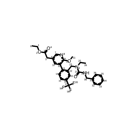 CCOC(=O)Cc1cnc(OC)c(-c2ccc(C(F)(F)F)cc2CN(CC)C(=O)NCc2ccccc2)c1